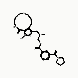 CCn1nc(C[C@@H](C)COC(=O)c2cccc(C(=O)N3CCCC3)c2)c2c1C(=O)NCCCOCCC2